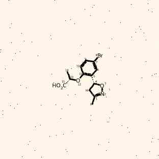 CC1=NO[C@@H](c2cc(Br)ccc2O[C@@H](C)C(=O)O)C1